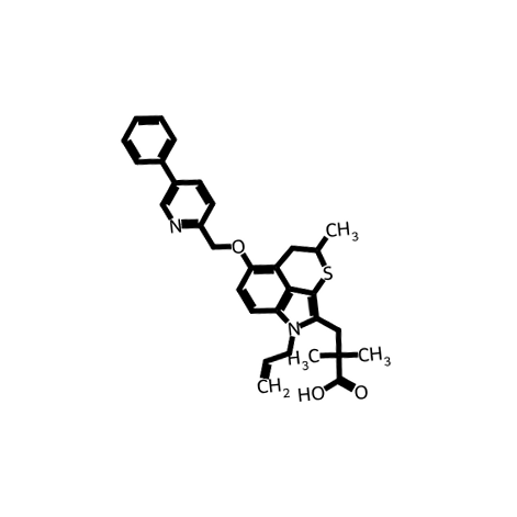 C=CCn1c(CC(C)(C)C(=O)O)c2c3c(c(OCc4ccc(-c5ccccc5)cn4)ccc31)CC(C)S2